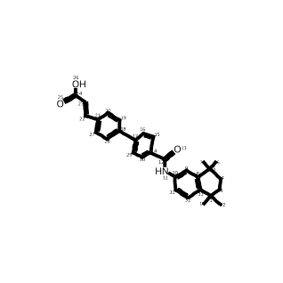 CC1(C)CCC(C)(C)c2cc(NC(=O)c3ccc(-c4ccc(C=CC(=O)O)cc4)cc3)ccc21